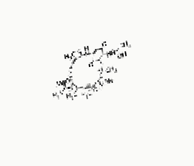 CO[C@H]1C[C@H](C)CC2=C(NCC(C)O)C(=O)C=C(NC(=O)C(C)=CCC[C@H](OC)[C@@H](OC(N)=O)C(C)=C[C@H](C)[C@H]1O)C2=O